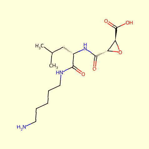 CC(C)C[C@H](NC(=O)[C@H]1O[C@@H]1C(=O)O)C(=O)NCCCCCN